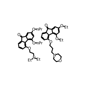 CCCOc1cc(OCCC)c2c(c1)C(=O)c1cccc(OCCN(CC)CC)c1-2.CCOc1cc(OCC)c2c(c1)C(=O)c1cccc(OCCCN3CCOCC3)c1-2